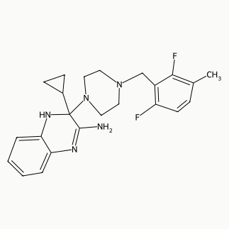 Cc1ccc(F)c(CN2CCN(C3(C4CC4)Nc4ccccc4N=C3N)CC2)c1F